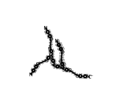 [C-]#[N+]c1ccc(-c2ccc(OCCCCCCOc3ccc(SC(COc4ccc(SC(C)Sc5ccc(OCC(Cc6ccc(OCCCCCCOc7ccc(-c8ccc(C#N)cc8)cc7)cc6)Sc6ccc(OCCCCCCOc7ccc(-c8ccc(C#N)cc8)cc7)cc6)cc5)cc4)Sc4ccc(OCCCCCCOc5ccc(-c6ccc(C#N)cc6)cc5)cc4)cc3)cc2)cc1